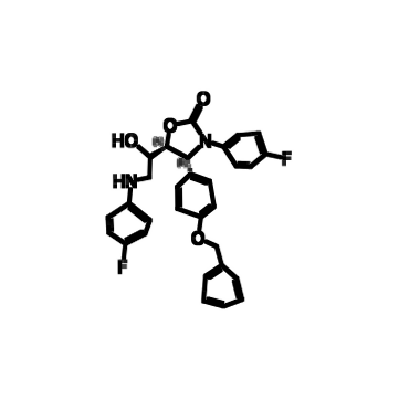 O=C1O[C@H](C(O)CNc2ccc(F)cc2)[C@@H](c2ccc(OCc3ccccc3)cc2)N1c1ccc(F)cc1